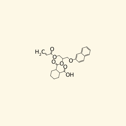 C=CC(=O)OCC(COc1ccc2ccccc2c1)OC(=O)C1CCCCC1C(=O)O